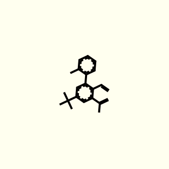 C=Cc1c(C(=C)C)cc(C(C)(C)C)cc1-c1ccccc1C